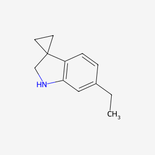 CCc1ccc2c(c1)NCC21CC1